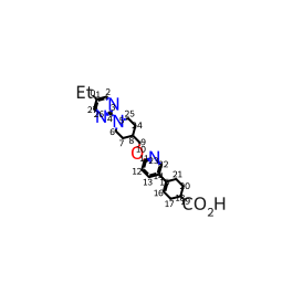 CCc1cnc(N2CCC(COc3ccc(C4=CCC(C(=O)O)CC4)cn3)CC2)nc1